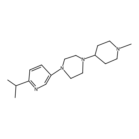 CC(C)c1ccc(N2CCN(C3CCN(C)CC3)CC2)cn1